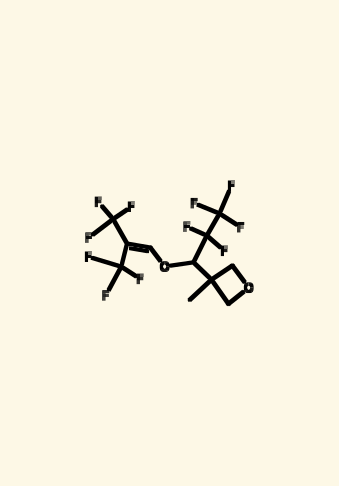 CC1(C(OC=C(C(F)(F)F)C(F)(F)F)C(F)(F)C(F)(F)F)COC1